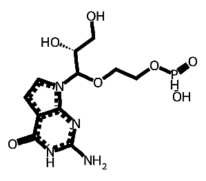 Nc1nc2c(ccn2C(OCCO[PH](=O)O)[C@H](O)CO)c(=O)[nH]1